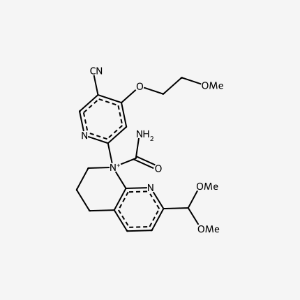 COCCOc1cc([N+]2(C(N)=O)CCCc3ccc(C(OC)OC)nc32)ncc1C#N